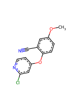 COc1ccc(Oc2ccnc(Cl)c2)c(C#N)c1